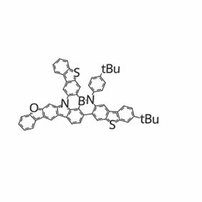 CC(C)(C)c1ccc(N2B3c4cc5sc6ccccc6c5cc4-n4c5cc6oc7ccccc7c6cc5c5ccc(c3c54)-c3cc4sc5cc(C(C)(C)C)ccc5c4cc32)cc1